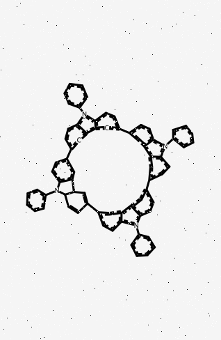 C1=CC2C3C=C1c1ccc4c(c1)c1cc(ccc1n4-c1ccccc1)-c1ccc4c(c1)c1cc(ccc1n4-c1ccccc1)-c1ccc4c(c1)c1cc(ccc1n4-c1ccccc1)-c1ccc(c3c1)N2c1ccccc1